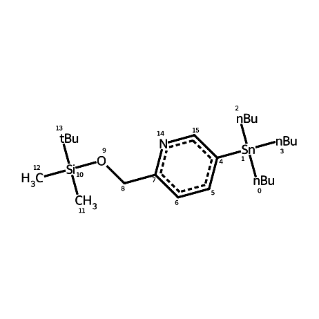 CCC[CH2][Sn]([CH2]CCC)([CH2]CCC)[c]1ccc(CO[Si](C)(C)C(C)(C)C)nc1